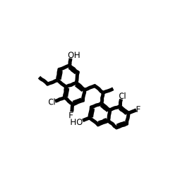 CCc1cc(O)cc2c(CC(C)c3cc(O)cc4ccc(F)c(Cl)c34)cc(F)c(Cl)c12